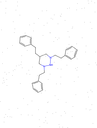 c1ccc(CCC2CN(CCc3ccccc3)NN(CCc3ccccc3)C2)cc1